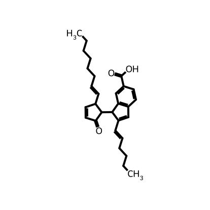 CCCCC=CC1=Cc2ccc(C(=O)O)cc2C1C1C(=O)C=CC1C=CCCCCCC